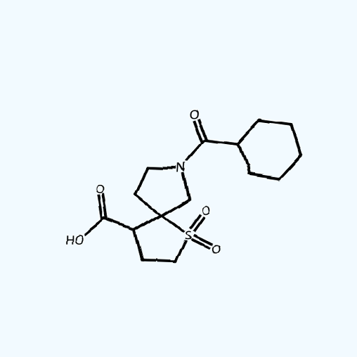 O=C(O)C1CCS(=O)(=O)C12CCN(C(=O)C1CCCCC1)C2